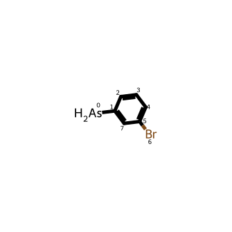 [AsH2]c1cccc(Br)c1